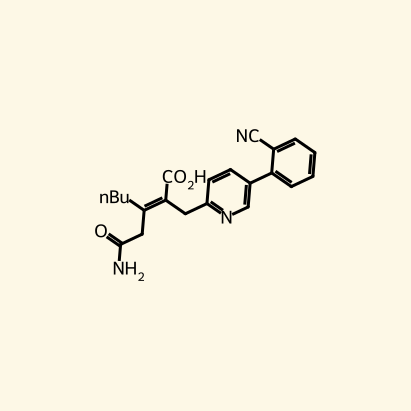 CCCC/C(CC(N)=O)=C(/Cc1ccc(-c2ccccc2C#N)cn1)C(=O)O